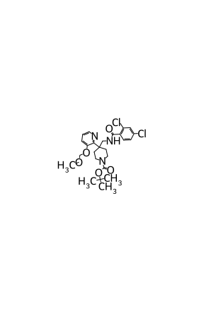 COCOc1cccnc1C1(CNC(=O)c2ccc(Cl)cc2Cl)CCN(C(=O)OC(C)(C)C)CC1